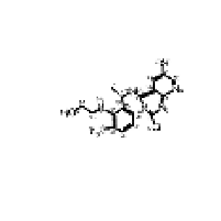 C[C@@H](Nc1nc(Cl)nc2ncc(Br)cc12)c1cccc(C(F)(F)F)c1NCCO